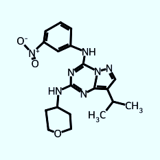 CC(C)c1cnn2c(Nc3cccc([N+](=O)[O-])c3)nc(NC3CCOCC3)nc12